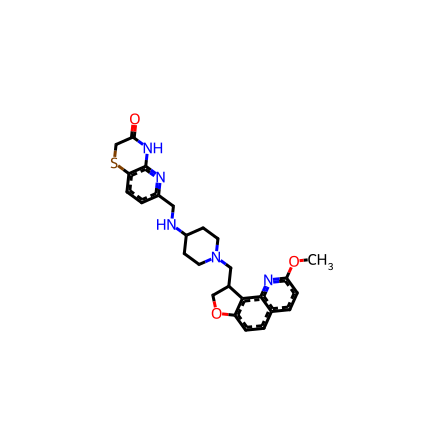 COc1ccc2ccc3c(c2n1)C(CN1CCC(NCc2ccc4c(n2)NC(=O)CS4)CC1)CO3